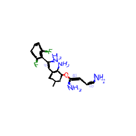 CC1CC(/C=C(\N)c2c(F)cccc2F)=C(N)C(O/C(N)=C/C=C\N)C1